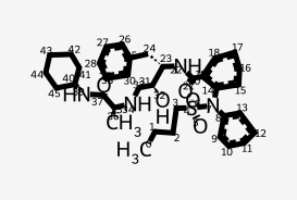 CCCCS(=O)(=O)N(c1ccccc1)c1ccccc1C(=O)N[C@@H](Cc1ccccc1)[C@H](O)CN[C@@H](C)C(=O)NC1CCCCC1